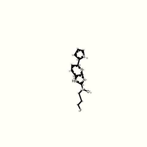 [O-][S+](CCCF)c1nc2nc(-c3cccs3)ccc2[nH]1